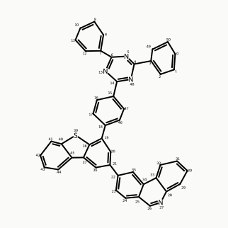 c1ccc(-c2nc(-c3ccccc3)nc(-c3ccc(-c4cc(-c5ccc6cnc7ccccc7c6c5)cc5c4sc4ccccc45)cc3)n2)cc1